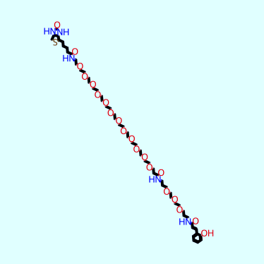 O=C(C=Cc1ccccc1O)NCCCOCCOCCOCCCNC(=O)CCOCCOCCOCCOCCOCCOCCOCCOCCOCCOCCOCCOCCNC(=O)CCCCC1SCC2NC(=O)NC21